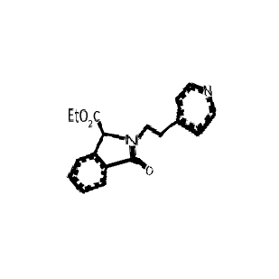 CCOC(=O)C1c2ccccc2C(=O)N1CCc1ccncc1